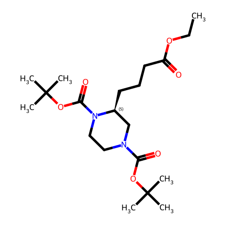 CCOC(=O)CCC[C@H]1CN(C(=O)OC(C)(C)C)CCN1C(=O)OC(C)(C)C